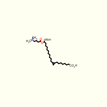 CCCCCCCCCC(CCCCCCCCCCC1CC1CCCCCCCC(=O)O)OC(=O)CCCN(C)C